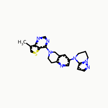 Cc1csc2c(N3CCc4ncc(N5CCCn6nccc65)cc4C3)ncnc12